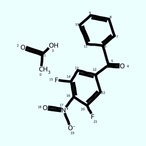 CC(=O)O.O=C(c1ccccc1)c1cc(F)c([N+](=O)[O-])c(F)c1